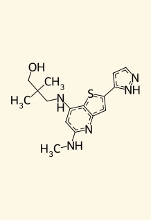 CNc1cc(NCC(C)(C)CO)c2sc(-c3ccn[nH]3)cc2n1